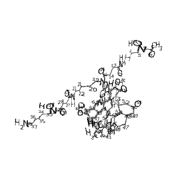 CC(=O)N(O)CCCCCNC(=O)CCC(=O)N(O)CCCCCNC(=O)CCC(=O)N(O)CCCCCN.C[C@]1(O)CC[C@H]2[C@@H]3CCC4=CC(=O)CCC4=C3C=C[C@@]21C.C[n+]1cc2c3c(ccc2c2ccc4cc5c(cc4c21)OCO5)OCO3